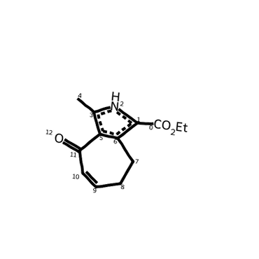 CCOC(=O)c1[nH]c(C)c2c1CCC=CC2=O